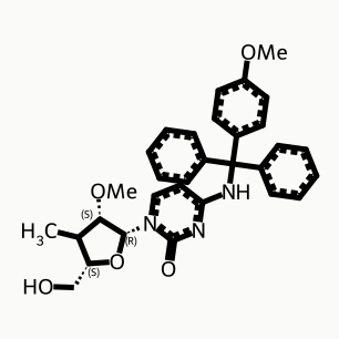 COc1ccc(C(Nc2ccn([C@@H]3O[C@H](CO)C(C)[C@@H]3OC)c(=O)n2)(c2ccccc2)c2ccccc2)cc1